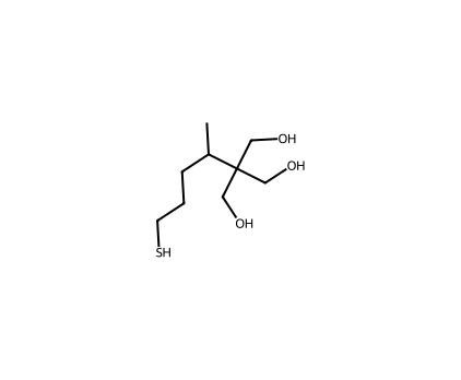 CC(CCCS)C(CO)(CO)CO